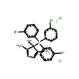 CC1=CC=C(C)[C]1([Ti+3])[Si](c1cccc(C(C)C)c1)(c1cccc(C(C)C)c1)c1cccc(C(C)C)c1.[Cl-].[Cl-].[Cl-]